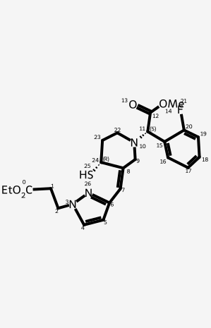 CCOC(=O)CCn1ccc(C=C2CN([C@H](C(=O)OC)c3ccccc3F)CC[C@H]2S)n1